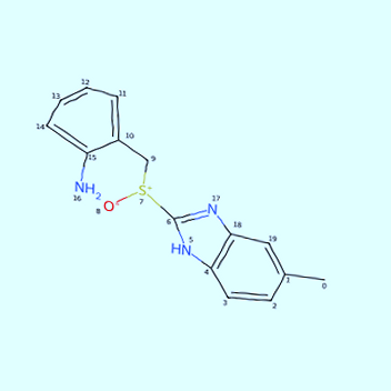 Cc1ccc2[nH]c([S+]([O-])Cc3ccccc3N)nc2c1